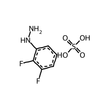 NNc1cccc(F)c1F.O=S(=O)(O)O